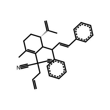 C=CCC(C#N)(C#N)C1=C(C)CC[C@H](C(=C)C)C1C(/C=C/c1ccccc1)c1ccccc1